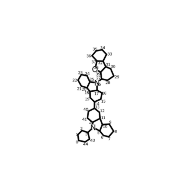 C1CCC(N2C3CCCCC3C3CC(C4CCC5C(C4)C4CCCCC4N5C4CCCC5C6CCCCC6OC54)CCC32)CC1